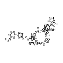 CCO[C@@H](O[C@@H]1[C@@H](C)C(=O)[C@@H](C)C(=O)O[C@H](CC)[C@@]2(C)OC(=O)N(CCCCn3cc(-c4cccc(N)c4)nn3)[C@@H]2[C@@H](C)NC[C@H](C)C[C@@]1(C)OC)C(O)C(CC)N1CCOC1CO